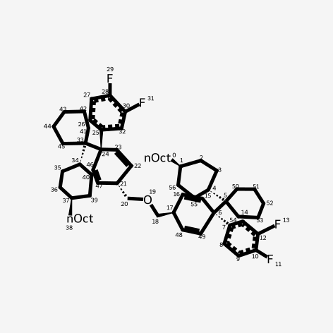 CCCCCCCC[C@H]1CC[C@H](C2([C@]3(c4ccc(F)c(F)c4)C=C[C@H](COC[C@H]4C=C[C@@](c5ccc(F)c(F)c5)(C5([C@H]6CC[C@H](CCCCCCCC)CC6)CCCCC5)C=C4)C=C3)CCCCC2)CC1